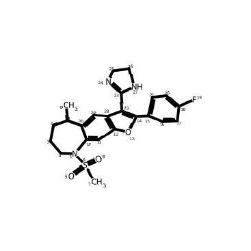 CC1CCCN(S(C)(=O)=O)c2cc3oc(-c4ccc(F)cc4)c(C4=NCCN4)c3cc21